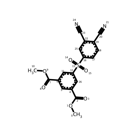 COC(=O)c1cc(C(=O)OC)cc(S(=O)(=O)c2ccc(C#N)c(C#N)c2)c1